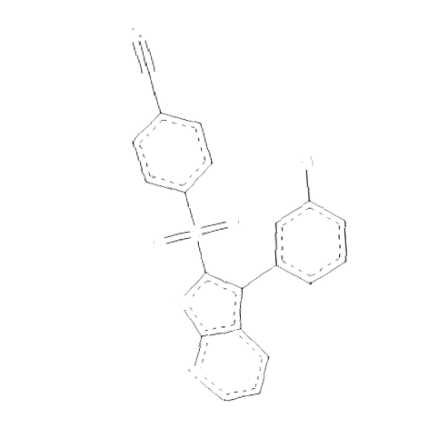 N#Cc1ccc(S(=O)(=O)c2sc3ncccc3c2-c2cccc(Cl)c2)cc1